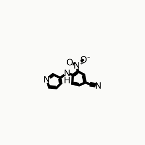 N#Cc1ccc(Nc2cccnc2)c([N+](=O)[O-])c1